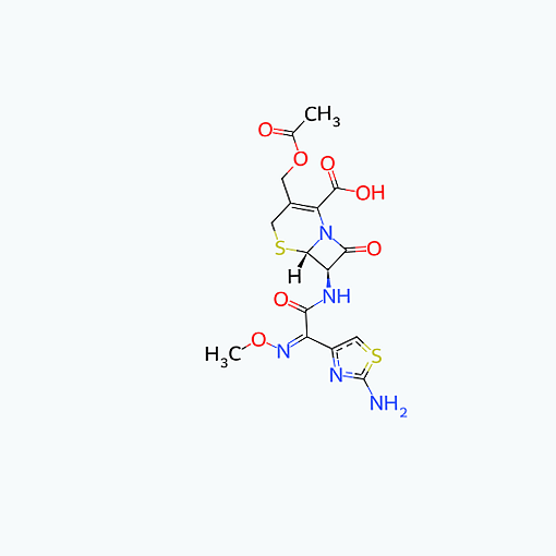 CO/N=C(\C(=O)N[C@@H]1C(=O)N2C(C(=O)O)=C(COC(C)=O)CS[C@@H]12)c1csc(N)n1